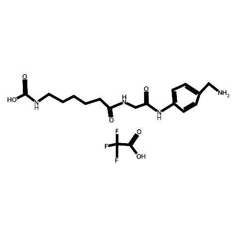 NCc1ccc(NC(=O)CNC(=O)CCCCCNC(=O)O)cc1.O=C(O)C(F)(F)F